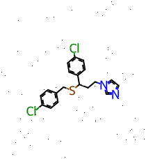 Clc1ccc(CSC(CCn2ccnc2)c2ccc(Cl)cc2)cc1